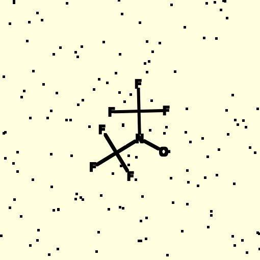 [O]N(C(F)(F)F)C(F)(F)F